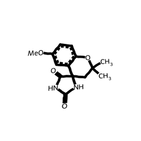 COc1ccc2c(c1)C1(CC(C)(C)O2)NC(=O)NC1=O